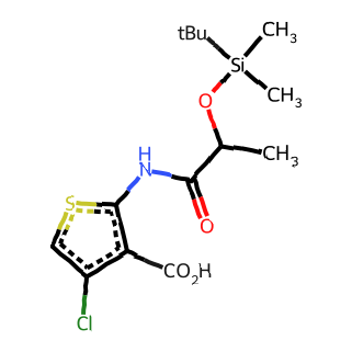 CC(O[Si](C)(C)C(C)(C)C)C(=O)Nc1scc(Cl)c1C(=O)O